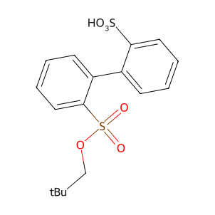 CC(C)(C)COS(=O)(=O)c1ccccc1-c1ccccc1S(=O)(=O)O